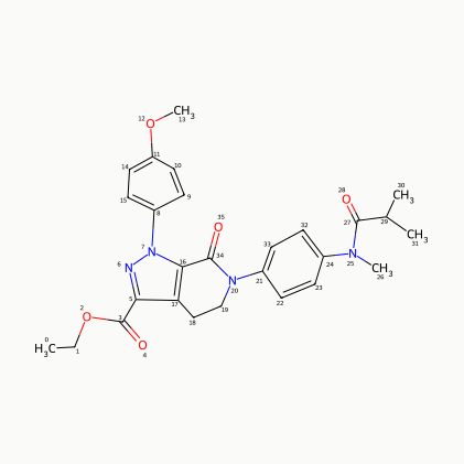 CCOC(=O)c1nn(-c2ccc(OC)cc2)c2c1CCN(c1ccc(N(C)C(=O)C(C)C)cc1)C2=O